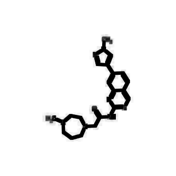 CN1CCCN(CC(=O)Nc2ncc3ccc(-c4cnn(C)c4)cc3n2)CC1